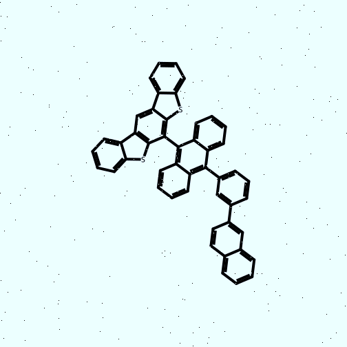 c1cc(-c2ccc3ccccc3c2)cc(-c2c3ccccc3c(-c3c4sc5ccccc5c4cc4c3sc3ccccc34)c3ccccc23)c1